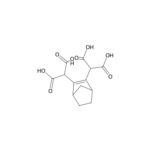 O=C(O)C(C(=O)O)C1=C(C(C(=O)O)C(=O)O)C2CCC1C2